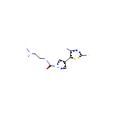 CC(=O)Nc1nc(C)c(-c2cnn(C(=O)NCCN(C)C)c2)s1